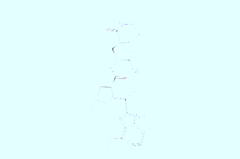 COc1cccc2[nH]c(C(=O)N3C[Si](C)(C)C[C@H]3C(=O)N[C@@H](C[C@@H]3CCCNC3=O)C(N)=O)cc12